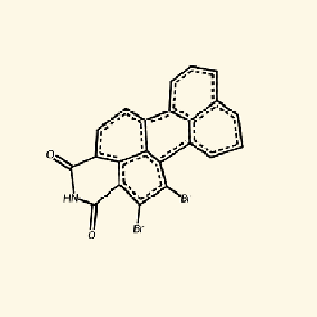 O=C1NC(=O)c2c(Br)c(Br)c3c4cccc5cccc(c6ccc1c2c63)c54